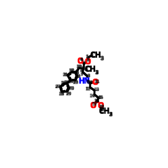 CCOC(=O)[C@@](C)(CCNC(=O)CCCCC(=O)OC)Cc1ccc(-c2ccccc2)cc1